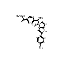 CC(C)(C)C(c1ccc(C(=O)NO)cc1)[N+]1(C)C=Cc2oc(-c3ccc(C(F)(F)F)cc3)cc21